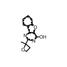 CC1(c2nc(O)c3oc4ccccc4c3n2)CCO1